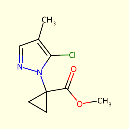 COC(=O)C1(n2ncc(C)c2Cl)CC1